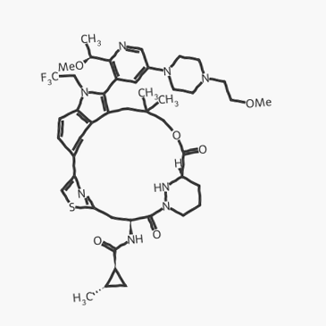 COCCN1CCN(c2cnc([C@H](C)OC)c(-c3c4c5cc(ccc5n3CC(F)(F)F)-c3csc(n3)C[C@H](NC(=O)[C@H]3C[C@@H]3C)C(=O)N3CCC[C@H](N3)C(=O)OCC(C)(C)C4)c2)CC1